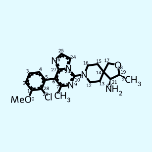 COc1cccc(-c2c(C)nc(N3CCC4(CC3)CO[C@@H](C)[C@H]4N)n3ccnc23)c1Cl